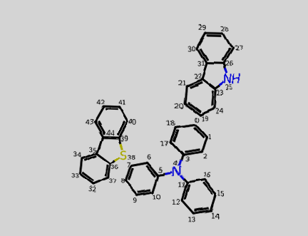 c1ccc(N(c2ccccc2)c2ccccc2)cc1.c1ccc2c(c1)[nH]c1ccccc12.c1ccc2c(c1)sc1ccccc12